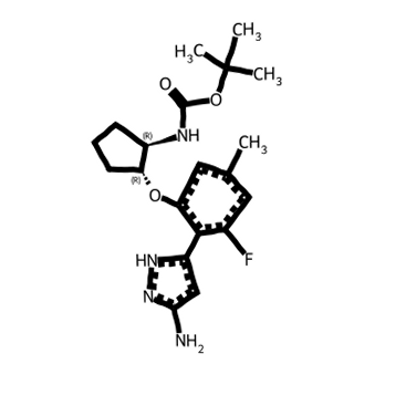 Cc1cc(F)c(-c2cc(N)n[nH]2)c(O[C@@H]2CCC[C@H]2NC(=O)OC(C)(C)C)c1